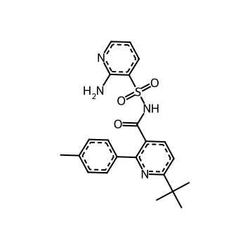 Cc1ccc(-c2nc(C(C)(C)C)ccc2C(=O)NS(=O)(=O)c2cccnc2N)cc1